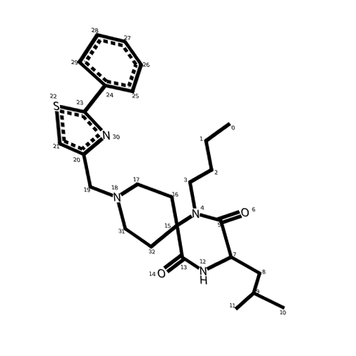 CCCCN1C(=O)C(CC(C)C)NC(=O)C12CCN(Cc1csc(-c3ccccc3)n1)CC2